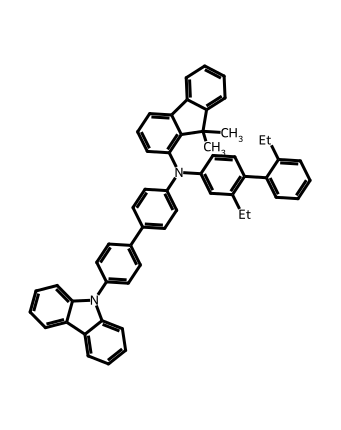 CCc1ccccc1-c1ccc(N(c2ccc(-c3ccc(-n4c5ccccc5c5ccccc54)cc3)cc2)c2cccc3c2C(C)(C)c2ccccc2-3)cc1CC